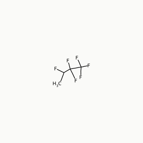 CC(F)C(F)(F)C(F)(F)F